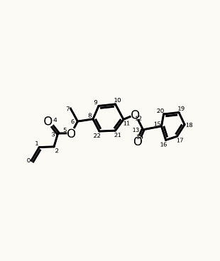 C=CCC(=O)OC(C)c1ccc(OC(=O)c2ccccc2)cc1